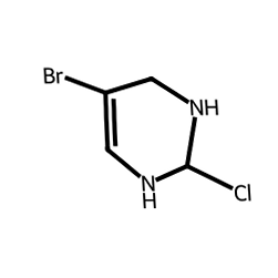 ClC1NC=C(Br)CN1